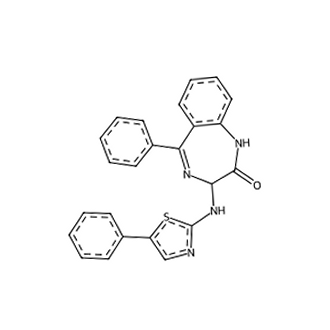 O=C1Nc2ccccc2C(c2ccccc2)=NC1Nc1ncc(-c2ccccc2)s1